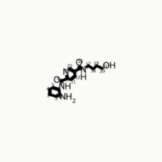 Nc1ccccc1NC(=O)c1ccc(C(=O)NCCCCO)cn1